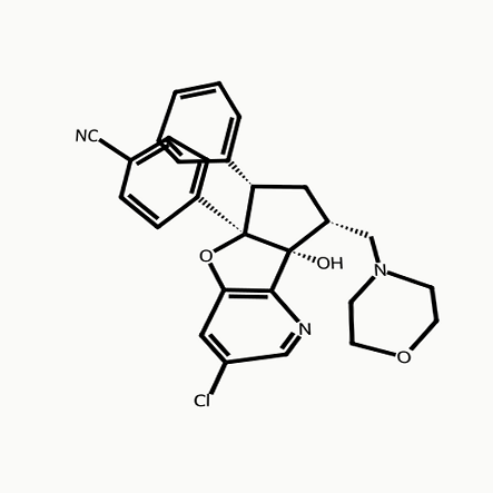 N#Cc1ccc([C@@]23Oc4cc(Cl)cnc4[C@]2(O)[C@@H](CN2CCOCC2)C[C@H]3c2ccccc2)cc1